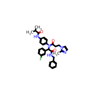 Cc1nccn1CCC(=O)N(c1ccc(NC(=O)C(C)C)cc1)C(C(=O)NCc1ccccc1)c1cccc(F)c1